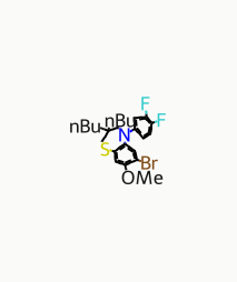 CCCCC1(CCCC)CSc2cc(OC)c(Br)cc2N(c2ccc(F)c(F)c2)C1